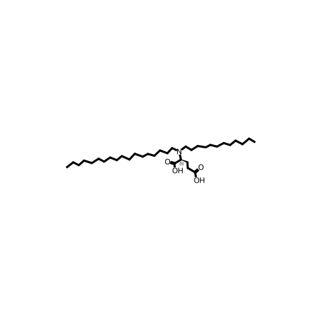 CCCCCCCCCCCCCCCCCCN(CCCCCCCCCCCC)[C@@H](CCC(=O)O)C(=O)O